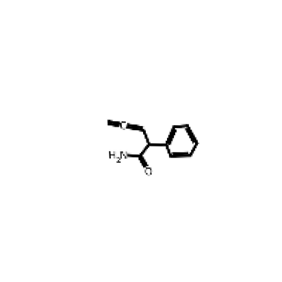 C=C=CC(C(N)=O)c1ccccc1